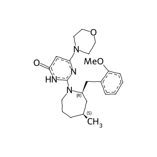 COc1ccccc1C[C@H]1C[C@@H](C)CCCN1c1nc(N2CCOCC2)cc(=O)[nH]1